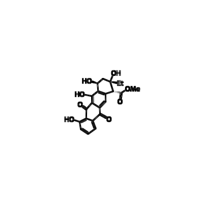 CC[C@]1(O)C[C@H](O)c2c(cc3c(c2O)C(=O)c2c(O)cccc2C3=O)[C@H]1C(=O)OC